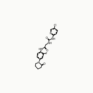 O=C(CNC(=O)Nc1ccc(Cl)cn1)Nc1ccc(N2CCCCC2=O)cc1F